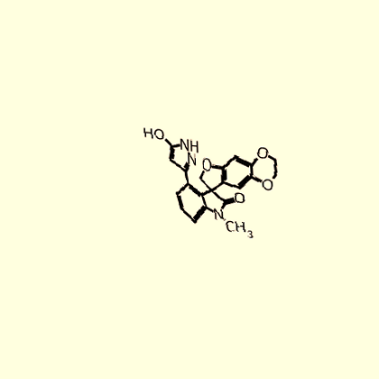 CN1C(=O)C2(COc3cc4c(cc32)OCCO4)c2c(-c3cc(O)[nH]n3)cccc21